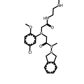 CNCCNC(=O)CN(CC(=O)N(C)N1Cc2ccccc2C1)c1cc(Cl)ccc1OC